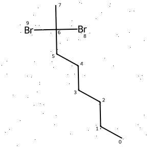 C[CH]CCCCC(C)(Br)Br